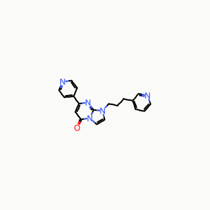 O=c1cc(-c2ccncc2)nc2n(CCCc3cccnc3)ccn12